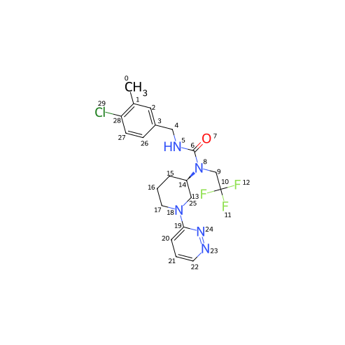 Cc1cc(CNC(=O)N(CC(F)(F)F)[C@@H]2CCCN(c3cccnn3)C2)ccc1Cl